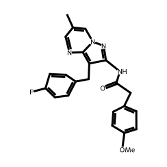 COc1ccc(CC(=O)Nc2nn3cc(C)cnc3c2Cc2ccc(F)cc2)cc1